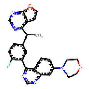 CC(c1ccc(F)c(-c2ncnc3cc(N4CCOCC4)ccc23)c1)c1ncnc2occc12